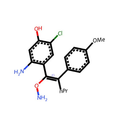 CCC/C(=C(\ON)c1cc(Cl)c(O)cc1N)c1ccc(OC)cc1